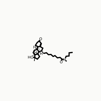 CCCCN(C)C(=O)CCCCCCCC[C@@H]1CC2=CC(=O)CC[C@]2(C)[C@H]2CC[C@@]3(C)[C@@H](CC[C@]3(C)O)[C@H]12